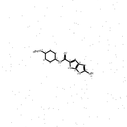 CCCCCC1CCC(OC(=O)c2cc3cc(CCC)sc3s2)CC1